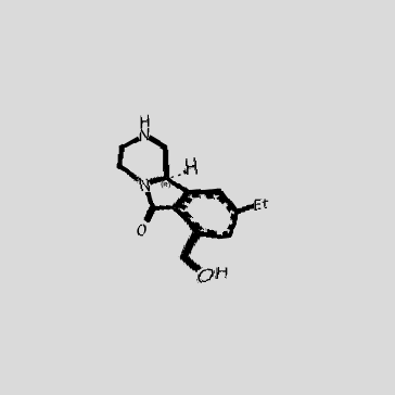 CCc1cc(CO)c2c(c1)[C@@H]1CNCCN1C2=O